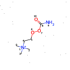 C[N+](C)(C)CCOOC(N)=O